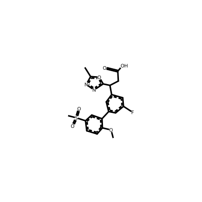 COc1ccc(S(C)(=O)=O)cc1-c1cc(F)cc(C(CC(=O)O)c2nnc(C)o2)c1